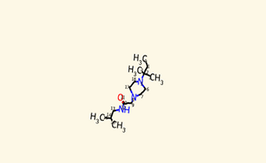 CCC(C)(C)N1CCN(CC(=O)NCC(C)C)CC1